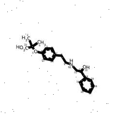 CC(C)(Oc1ccc(CCNCC(O)c2ccccc2)cc1)C(=O)O